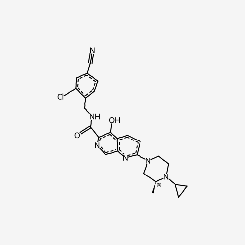 C[C@H]1CN(c2ccc3c(O)c(C(=O)NCc4ccc(C#N)cc4Cl)ncc3n2)CCN1C1CC1